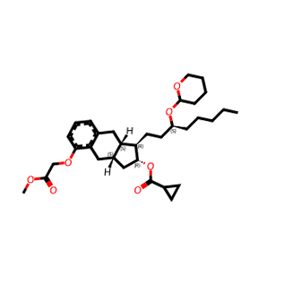 CCCCC[C@@H](CC[C@@H]1[C@H]2Cc3cccc(OCC(=O)OC)c3C[C@H]2C[C@H]1OC(=O)C1CC1)OC1CCCCO1